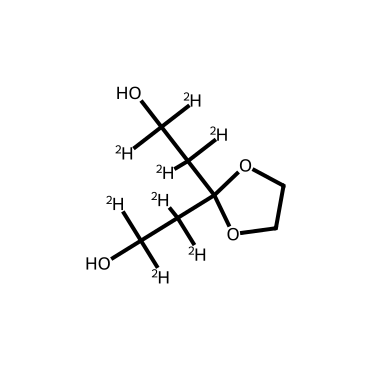 [2H]C([2H])(O)C([2H])([2H])C1(C([2H])([2H])C([2H])([2H])O)OCCO1